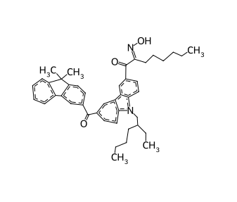 CCCCCC/C(=N\O)C(=O)c1ccc2c(c1)c1cc(C(=O)c3ccc4c(c3)-c3ccccc3C4(C)C)ccc1n2CC(CC)CCCC